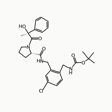 CC(C)(C)OC(=O)NCc1ccc(Cl)cc1CNC(=O)[C@@H]1CCCN1C(=O)[C@@](C)(O)c1ccccc1